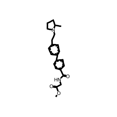 COC(=O)CNC(=O)c1ccc(-c2ccc(CCN3CCCC3C)cc2)cc1